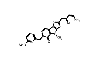 COc1cccc(Cn2ncc3c4sc(CC(=N)/C=C\N)nc4n(C)c3c2=O)n1